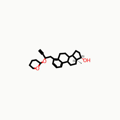 C#CC(Cc1cccc2c1CCC1C2CC[C@@]2(C)C1CC[C@@H]2O)OC1CCCCO1